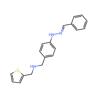 C(=N\Nc1ccc(CNCc2cccs2)cc1)/c1ccccc1